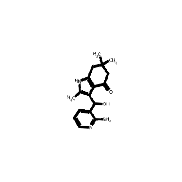 Bc1ncccc1C(O)c1c(C)[nH]c2c1C(=O)CC(C)(C)C2